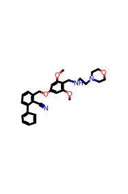 COc1cc(OCc2cccc(-c3ccccc3)c2C#N)cc(OC)c1CNCCN1CCOCC1